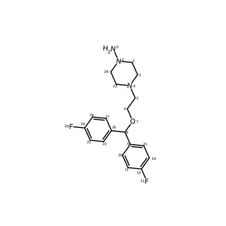 NN1CCN(CCOC(c2ccc(F)cc2)c2ccc(F)cc2)CC1